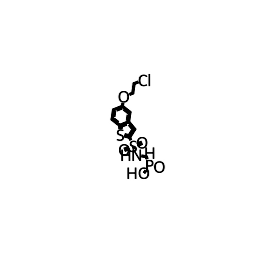 O=[PH](O)CNS(=O)(=O)c1cc2cc(OCCCl)ccc2s1